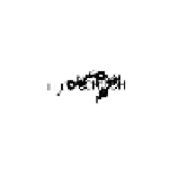 Cc1ccc(-c2nc(CCOc3ccc(C[C@H](NCc4ccc(F)cc4)C(=O)O)cc3)c(C)o2)cc1